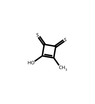 Cc1c(O)c(=S)c1=S